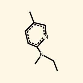 CCN(C)c1ccc(C)cn1